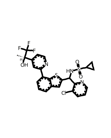 C[C@@](O)(c1ccnc(-c2cccc3cc(C(NS(=O)(=O)C4CC4)c4ncccc4Cl)sc23)c1)C(F)(F)F